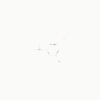 FC(F)(F)c1cc(P(Cl)Cl)cc(C(F)(F)F)c1